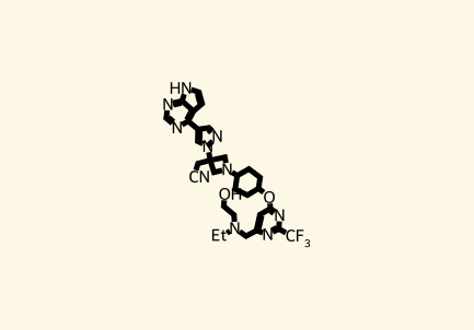 CCN(CCO)Cc1cc(OC2CCC(N3CC(CC#N)(n4cc(-c5ncnc6[nH]ccc56)cn4)C3)CC2)nc(C(F)(F)F)n1